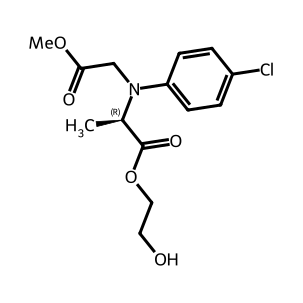 COC(=O)CN(c1ccc(Cl)cc1)[C@H](C)C(=O)OCCO